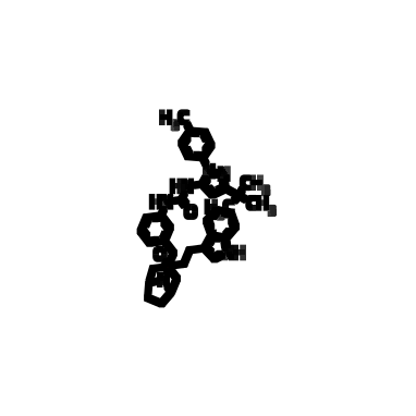 Cc1ccc(-n2nc(C(C)(C)C)cc2NC(=O)Nc2cccc(CC3CC4CCC(C3)N4C(=O)CCc3c[nH]c4ccccc34)c2)cc1